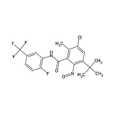 Cc1c(Cl)cc(C(C)(C)C)c(N=O)c1C(=O)Nc1cc(C(F)(F)F)ccc1F